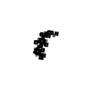 CCNc1cccc(COc2c(Cl)cc(C(=O)NCC(=O)O)cc2Cl)c1Cl